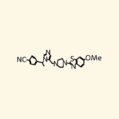 COc1ccc2nc(N3CCN(Cc4cncn4C(C)c4ccc(C#N)cc4)CC3)sc2c1